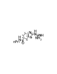 CCCNC(=O)C1CCc2nc(NC(=N)N)sc2C1